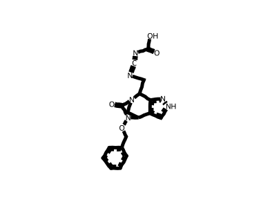 O=C(O)N=C=NCC1c2n[nH]cc2C2CN1C(=O)N2OCc1ccccc1